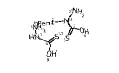 CCCCCN(N)C(O)=S.NNC(O)=S